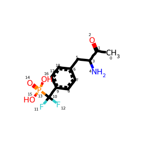 CC(=O)C(N)Cc1ccc(C(F)(F)P(=O)(O)O)cc1